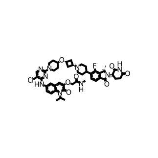 CNC(=O)COc1cc2cc(Nc3nc(N4CCC(O[C@H]5C[C@H](N6CCC(c7ccc8c(c7F)[C@H](C)N([C@H]7CCC(=O)NC7=O)C8=O)CC6)C5)CC4)ncc3Cl)ccc2n(C(C)C)c1=O